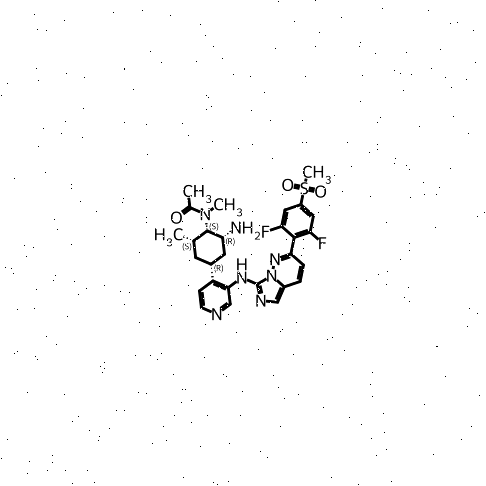 CC(=O)N(C)[C@@H]1[C@H](N)C[C@H](c2ccncc2Nc2ncc3ccc(-c4c(F)cc(S(C)(=O)=O)cc4F)nn23)C[C@@H]1C